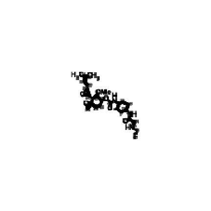 COC1C(OC(=O)NC2CCC(NC(=O)CNSF)CC2)CCC2(CO2)C1[C@H]1O[C@@H]1CC=C(C)C